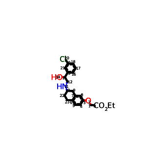 CCOC(=O)COc1ccc2c(c1)CC(NCC(O)c1cccc(Cl)c1)CC2